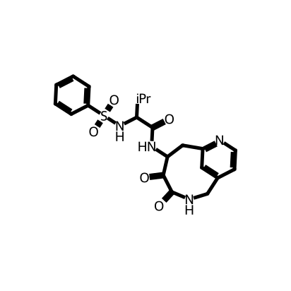 CC(C)C(NS(=O)(=O)c1ccccc1)C(=O)NC1Cc2cc(ccn2)CNC(=O)C1=O